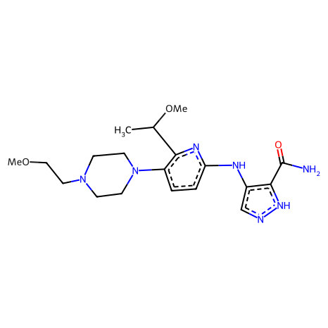 COCCN1CCN(c2ccc(Nc3cn[nH]c3C(N)=O)nc2C(C)OC)CC1